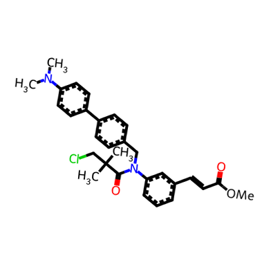 COC(=O)/C=C/c1cccc(N(Cc2ccc(-c3ccc(N(C)C)cc3)cc2)C(=O)C(C)(C)CCl)c1